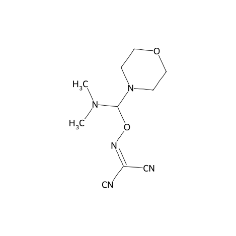 [C-]#[N+]C(C#N)=NOC(N(C)C)N1CCOCC1